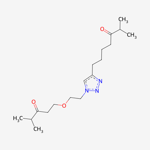 CC(C)C(=O)CCCCc1cn(CCOCCC(=O)C(C)C)nn1